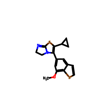 COc1cc(C2=C(C3CC3)SC3=NCCN32)cc2ccsc12